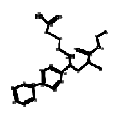 CCOC(=O)C(C)CC(NCCCC(=O)O)c1ccc(-c2ccccc2)cc1